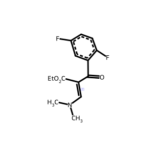 CCOC(=O)/C(=C\N(C)C)C(=O)c1cc(F)ccc1F